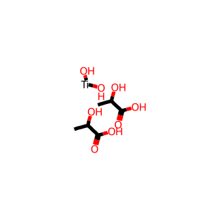 CC(O)C(=O)O.CC(O)C(=O)O.[OH][Ti][OH]